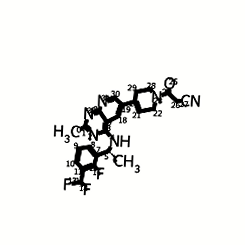 Cc1nc(N[C@H](C)c2cccc(C(F)F)c2F)c2cc(C3=CCN(C(=O)CC#N)CC3)cnc2n1